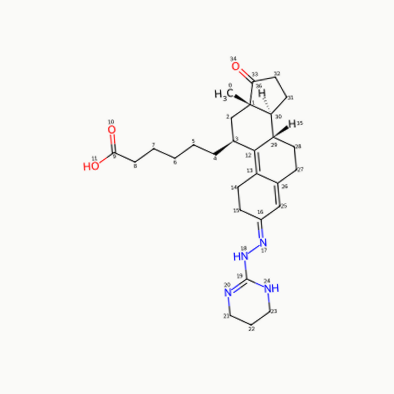 C[C@]12C[C@H](CCCCCC(=O)O)C3=C4CCC(=NNC5=NCCCN5)C=C4CC[C@H]3[C@@H]1CCC2=O